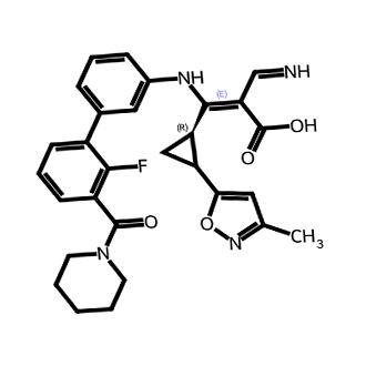 Cc1cc(C2C[C@H]2/C(Nc2cccc(-c3cccc(C(=O)N4CCCCC4)c3F)c2)=C(/C=N)C(=O)O)on1